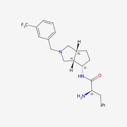 CC(C)C[C@@H](N)C(=O)N[C@H]1CC[C@H]2CN(Cc3cccc(C(F)(F)F)c3)C[C@H]21